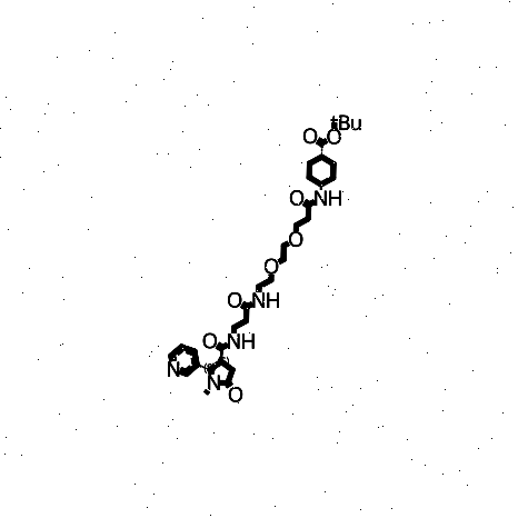 CN1C(=O)C[C@H](C(=O)NCCC(=O)NCCOCCOCCC(=O)N[C@H]2CC[C@@H](C(=O)OC(C)(C)C)CC2)[C@H]1c1cccnc1